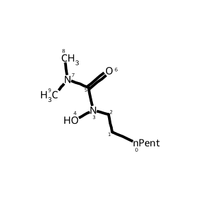 CCCCCCCN(O)C(=O)N(C)C